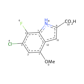 COc1cc(Cl)c(F)c2[nH]c(C(=O)O)cc12